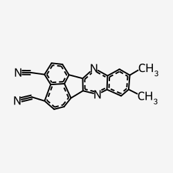 Cc1cc2nc3c(nc2cc1C)-c1ccc(C#N)c2c(C#N)ccc-3c12